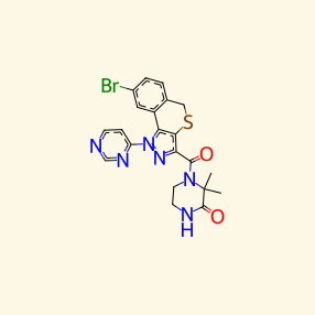 CC1(C)C(=O)NCCN1C(=O)c1nn(-c2ccncn2)c2c1SCc1ccc(Br)cc1-2